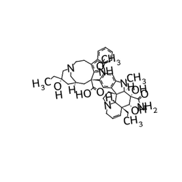 CC[C@]1(O)C[C@H]2CN(CCc3c([nH]c4ccccc34)[C@@](C(=O)O)(c3cc4c(cc3OC)N(C)[C@H]3[C@@](O)(C(N)=O)[C@H](O)[C@]5(CC)C=CCN6CC[C@@]43[C@@H]65)C2)C1